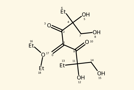 C=C(C(=O)C(O)(CC)CO)C(=O)C(O)(CC)CO.CCOCC